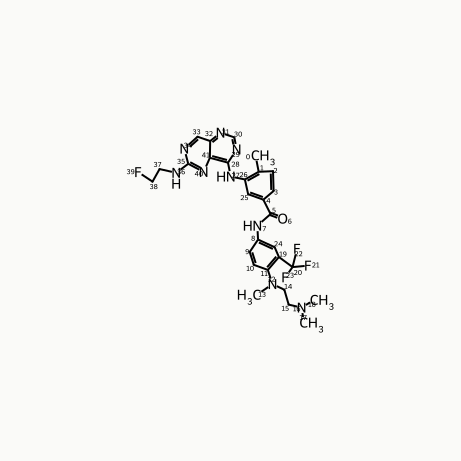 Cc1ccc(C(=O)Nc2ccc(N(C)CCN(C)C)c(C(F)(F)F)c2)cc1Nc1ncnc2cnc(NCCF)nc12